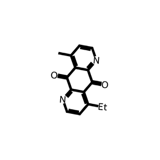 CCc1ccnc2c1C(=O)c1nccc(C)c1C2=O